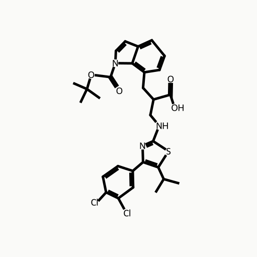 CC(C)c1sc(NCC(Cc2cccc3ccn(C(=O)OC(C)(C)C)c23)C(=O)O)nc1-c1ccc(Cl)c(Cl)c1